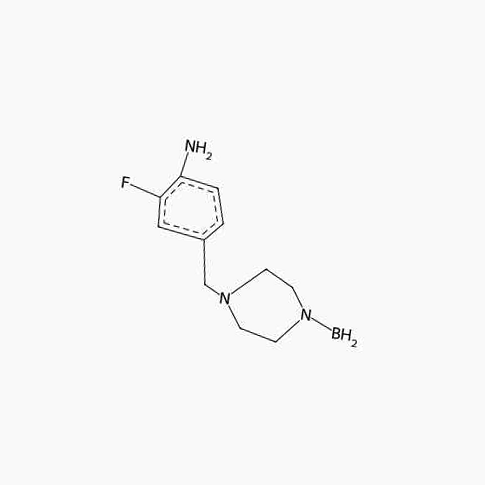 BN1CCN(Cc2ccc(N)c(F)c2)CC1